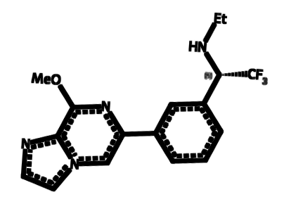 CCN[C@@H](c1cccc(-c2cn3ccnc3c(OC)n2)c1)C(F)(F)F